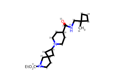 CCOC(=O)N1CCC2(CC(N3CCC(C(=O)NCC4(C)CCC4)CC3)C2)C1